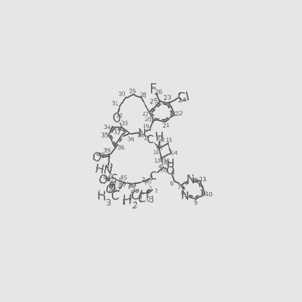 C=C[C@H]1C[C@H](OCc2ncccn2)[C@@H]2CC[C@H]2CN2Cc3ccc(Cl)c(F)c3CCCCOc3ccc(cc32)C(=O)NS(=O)(=O)[C@H](C)[C@H]1C